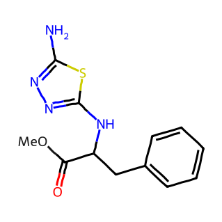 COC(=O)C(Cc1ccccc1)Nc1nnc(N)s1